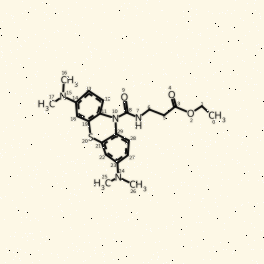 CCOC(=O)CCNC(=O)N1c2ccc(N(C)C)cc2Sc2cc(N(C)C)ccc21